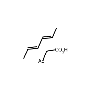 C/C=C/C=C/C.CC(=O)CC(=O)O